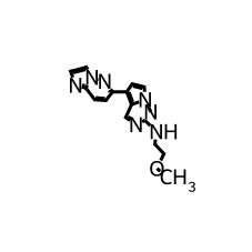 COCCNc1ncc2c(-c3ccc4nccn4n3)ccn2n1